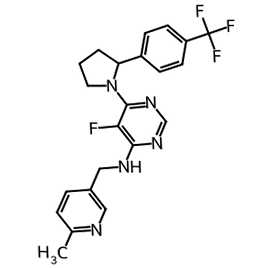 Cc1ccc(CNc2ncnc(N3CCCC3c3ccc(C(F)(F)F)cc3)c2F)cn1